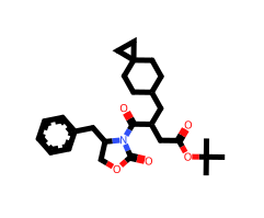 CC(C)(C)OC(=O)CC(CC1CCC2(CC1)CC2)C(=O)N1C(=O)OCC1Cc1ccccc1